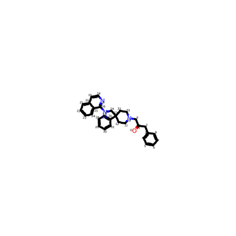 O=C(Cc1ccccc1)CN1CCC(CNc2nccc3ccccc23)(c2ccccc2)CC1